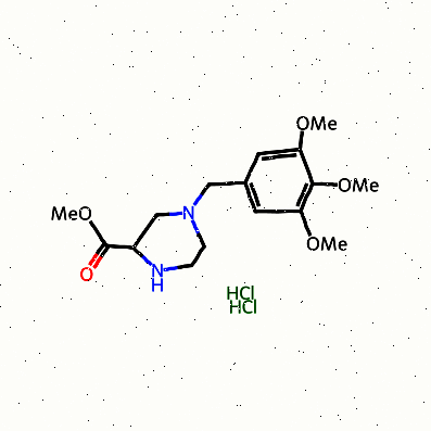 COC(=O)C1CN(Cc2cc(OC)c(OC)c(OC)c2)CCN1.Cl.Cl